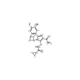 NC(=O)c1nc2n(c1CNC(=O)C1CC1)C1CC(C1)c1cc(F)c(Br)cc1-2